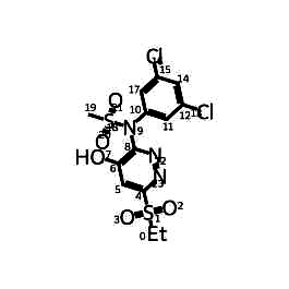 CCS(=O)(=O)c1cc(O)c(N(c2cc(Cl)cc(Cl)c2)S(C)(=O)=O)nn1